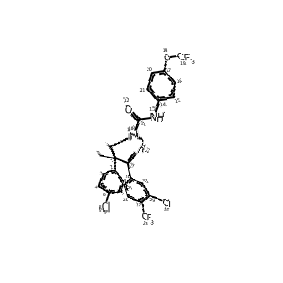 CC1(c2ccc(Cl)cc2)CN(C(=O)Nc2ccc(OC(F)(F)F)cc2)N=C1c1ccc(C(F)(F)F)c(Cl)c1